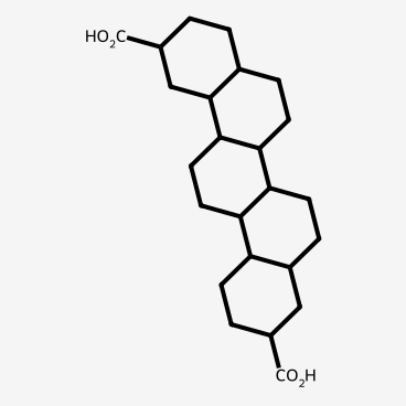 O=C(O)C1CCC2C(CCC3C2CCC2C4CC(C(=O)O)CCC4CCC23)C1